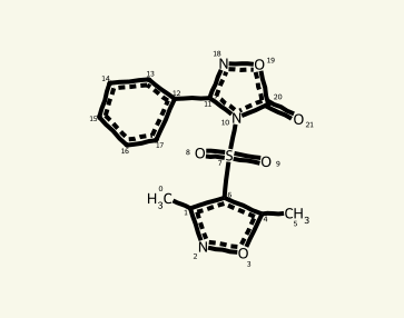 Cc1noc(C)c1S(=O)(=O)n1c(-c2ccccc2)noc1=O